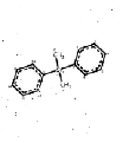 C[Si](C)(c1ccccc1)c1ccccn1